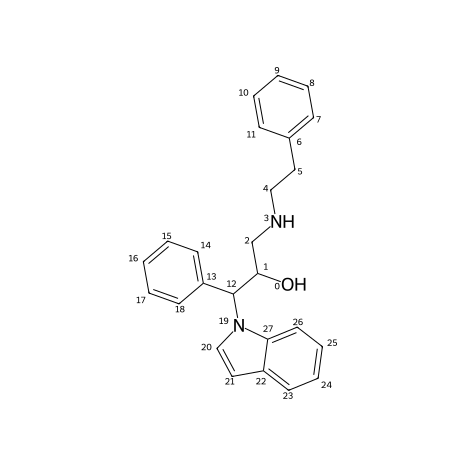 OC(CNCCc1ccccc1)C(c1ccccc1)n1ccc2ccccc21